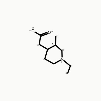 CCN1CCC(CC(=O)O)C(C)C1